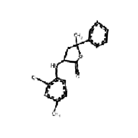 Cc1ccc(NC2CC(C)(c3ccccc3)OC2=O)c(Cl)c1